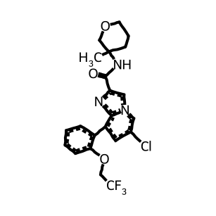 CC1(NC(=O)c2cn3cc(Cl)cc(-c4ccccc4OCC(F)(F)F)c3n2)CCCOC1